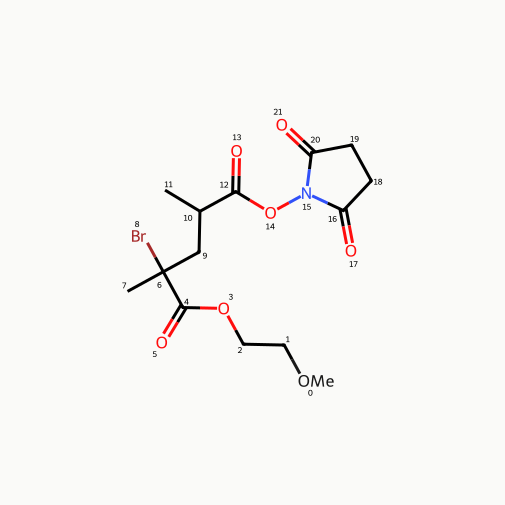 COCCOC(=O)C(C)(Br)CC(C)C(=O)ON1C(=O)CCC1=O